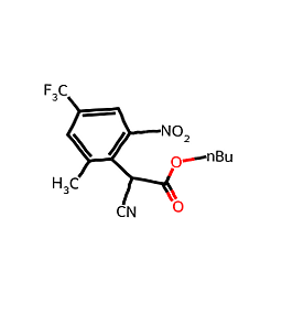 CCCCOC(=O)C(C#N)c1c(C)cc(C(F)(F)F)cc1[N+](=O)[O-]